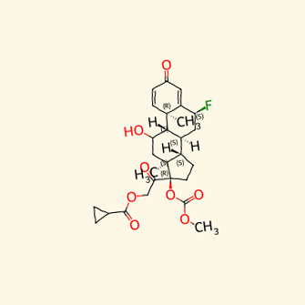 COC(=O)O[C@]1(C(=O)COC(=O)C2CC2)CC[C@H]2[C@@H]3C[C@H](F)C4=CC(=O)C=C[C@]4(C)[C@H]3C(O)C[C@@]21C